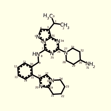 CC(C)c1cnn2c(NCc3ccccc3-c3cn4c(n3)CCCC4)nc(N3CCC(N)CC3)nc12